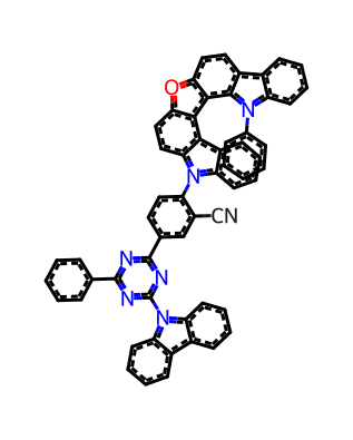 N#Cc1cc(-c2nc(-c3ccccc3)nc(-n3c4ccccc4c4ccccc43)n2)ccc1-n1c2ccccc2c2c3c(ccc21)oc1ccc2c4ccccc4n(-c4ccccc4)c2c13